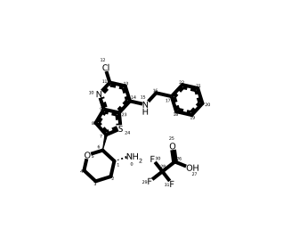 N[C@@H]1CCCO[C@H]1c1cc2nc(Cl)cc(NCc3ccccc3)c2s1.O=C(O)C(F)(F)F